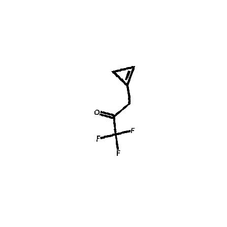 O=C(CC1=CC1)C(F)(F)F